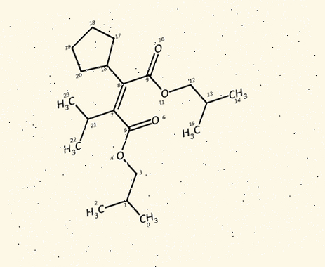 CC(C)COC(=O)/C(=C(\C(=O)OCC(C)C)C1CCCC1)C(C)C